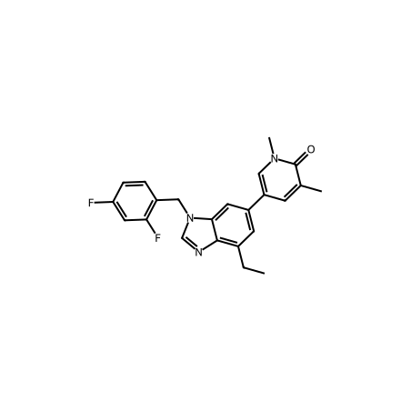 CCc1cc(-c2cc(C)c(=O)n(C)c2)cc2c1ncn2Cc1ccc(F)cc1F